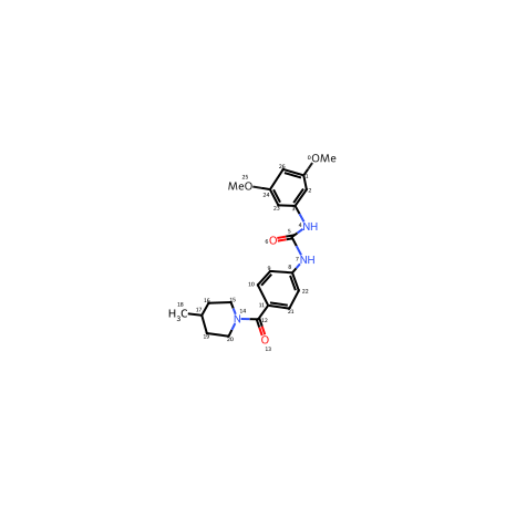 COc1cc(NC(=O)Nc2ccc(C(=O)N3CCC(C)CC3)cc2)cc(OC)c1